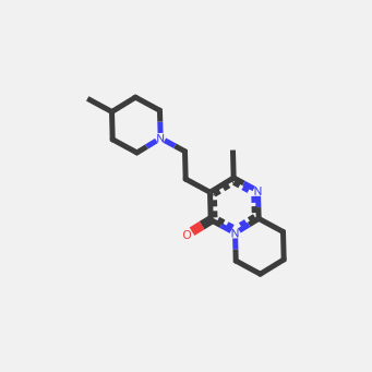 Cc1nc2n(c(=O)c1CCN1CCC(C)CC1)CCCC2